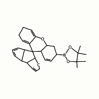 CC1(C)OB(C2C=CC3C(C2)OC2=CCCC=C2C32C3C=CC=CC3C3C=CCCC32)OC1(C)C